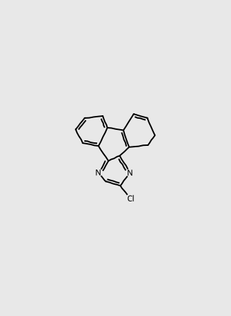 Clc1cnc2c(n1)c1c(c3ccccc32)C=CCC1